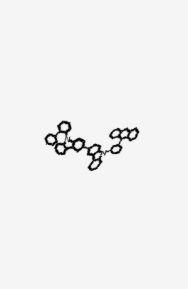 c1ccc(-c2ccccc2-n2c3ccccc3c3cc(-c4ccc5c(c4)c4ccccc4n5-c4cccc(-c5c6ccccc6cc6ccccc56)c4)ccc32)cc1